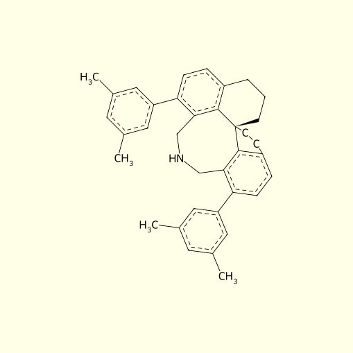 Cc1cc(C)cc(-c2ccc3c4c2CNCc2c(-c5cc(C)cc(C)c5)ccc5c2[C@@]4(CCC3)CC5)c1